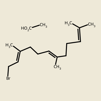 CC(=O)O.CC(C)=CCCC(C)=CCCC(C)=CCBr